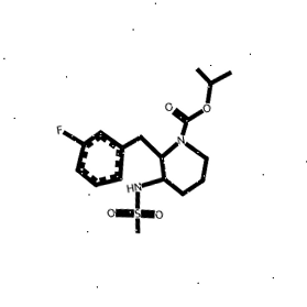 CC(C)OC(=O)N1CCCC(NS(C)(=O)=O)C1Cc1cccc(F)c1